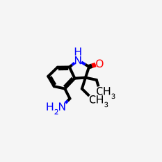 CCC1(CC)C(=O)Nc2cccc(CN)c21